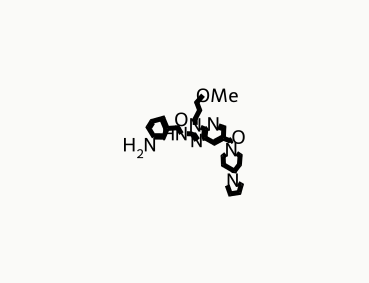 COCCCn1c(NC(=O)c2cccc(N)c2)nc2cc(C(=O)N3CCC(N4CCCC4)CC3)cnc21